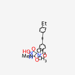 CCc1ccc(C#Cc2ccc(C(=O)N(C)[C@@](C)(C(=O)NC)C(=O)NO)cc2)cc1